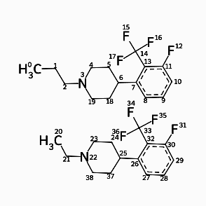 CCCN1CCC(c2cccc(F)c2C(F)(F)F)CC1.CCN1CCC(c2cccc(F)c2C(F)(F)F)CC1